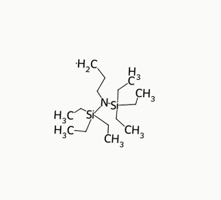 [CH2]CCN([Si](CC)(CC)CC)[Si](CC)(CC)CC